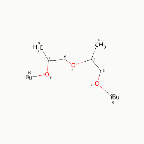 CCC(C)OCC(C)OCC(C)OC(C)CC